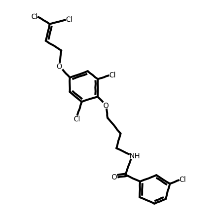 O=C(NCCCOc1c(Cl)cc(OCC=C(Cl)Cl)cc1Cl)c1cccc(Cl)c1